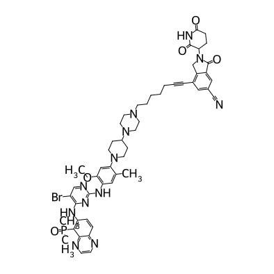 COc1cc(N2CCC(N3CCN(CCCCCC#Cc4cc(C#N)cc5c4CN(C4CCC(=O)NC4=O)C5=O)CC3)CC2)c(C)cc1Nc1ncc(Br)c(Nc2ccc3nccnc3c2P(C)(C)=O)n1